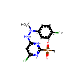 CS(=O)(=O)c1nc(Cl)cc(NN(C(=O)O)c2ccc(F)cc2)n1